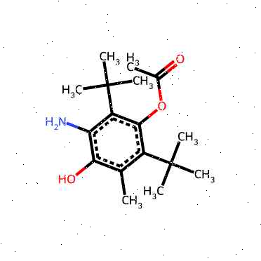 CC(=O)Oc1c(C(C)(C)C)c(C)c(O)c(N)c1C(C)(C)C